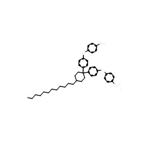 CCCCCCCCCCCCC1CCC(c2ccc(Oc3ccc(N)cc3)cc2)(c2ccc(Oc3ccc(N)cc3)cc2)CC1